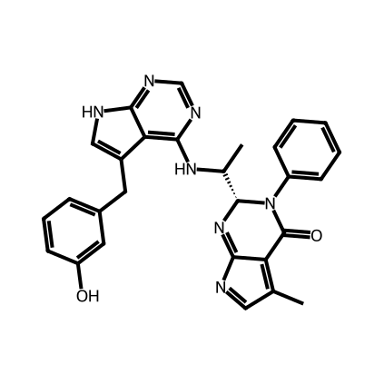 CC1=C2C(=O)N(c3ccccc3)[C@@H](C(C)Nc3ncnc4[nH]cc(Cc5cccc(O)c5)c34)N=C2N=C1